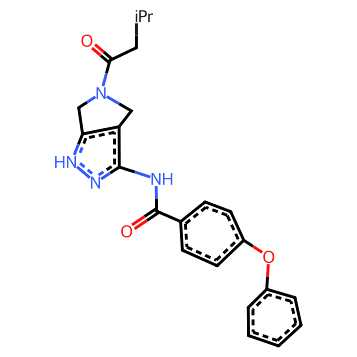 CC(C)CC(=O)N1Cc2[nH]nc(NC(=O)c3ccc(Oc4ccccc4)cc3)c2C1